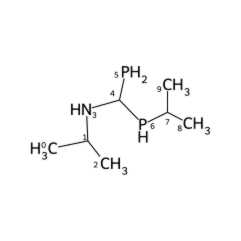 CC(C)NC(P)PC(C)C